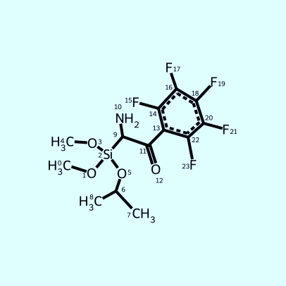 CO[Si](OC)(OC(C)C)C(N)C(=O)c1c(F)c(F)c(F)c(F)c1F